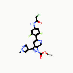 Cn1cc(-c2nn(C(=O)OC(C)(C)C)c3cnc(-c4c(F)cc(NC(=O)CCl)cc4F)cc23)cn1